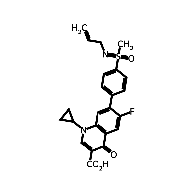 C=CCN=S(C)(=O)c1ccc(-c2cc3c(cc2F)c(=O)c(C(=O)O)cn3C2CC2)cc1